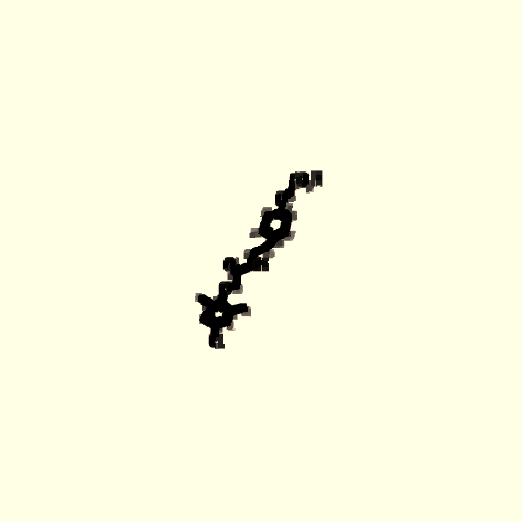 Cc1cc(Cl)cc(C)c1OCC(=O)NCCc1ccc(OCC(=O)O)cc1